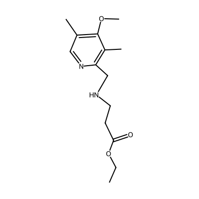 CCOC(=O)CCNCc1ncc(C)c(OC)c1C